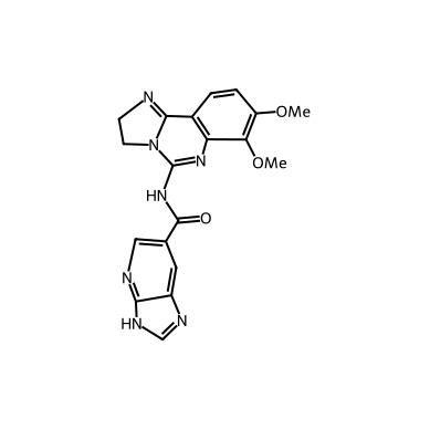 COc1ccc2c(c1OC)N=C(NC(=O)c1cnc3[nH]cnc3c1)N1CCN=C21